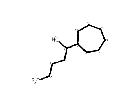 N#CC(CCCC(F)(F)F)C1CCCCCC1